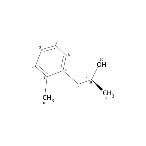 Cc1ccccc1C[C@H](C)O